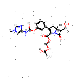 C[C@@H](O)[C@H]1C(=O)N2C(C(=O)OCOC(=O)C(C)(C)C)=C(c3cccc(OC(=O)Nc4cn(C)cn4)c3)C[C@H]12